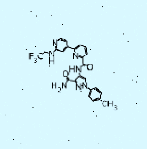 Cc1ccc(-n2cc(NC(=O)c3cccc(-c4ccnc(NCC(F)(F)F)c4)n3)c(C(N)=O)n2)cc1